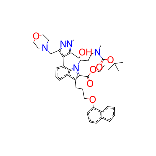 CCOC(=O)c1c(CCCOc2cccc3ccccc23)c2cccc(-c3c(CN4CCOCC4)nn(C)c3CO)c2n1CCCN(C)C(=O)OC(C)(C)C